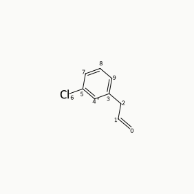 C=CCc1[c]c(Cl)ccc1